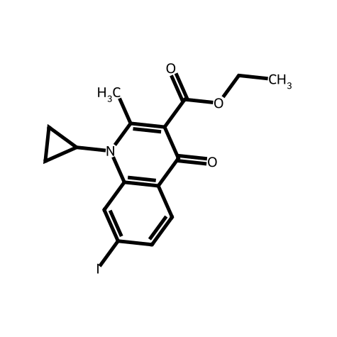 CCOC(=O)c1c(C)n(C2CC2)c2cc(I)ccc2c1=O